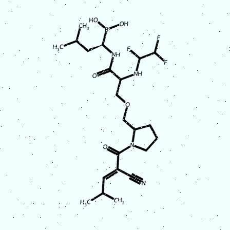 CC(C)C=C(C#N)C(=O)N1CCCC1COCC(NC(F)C(F)F)C(=O)N[C@@H](CC(C)C)B(O)O